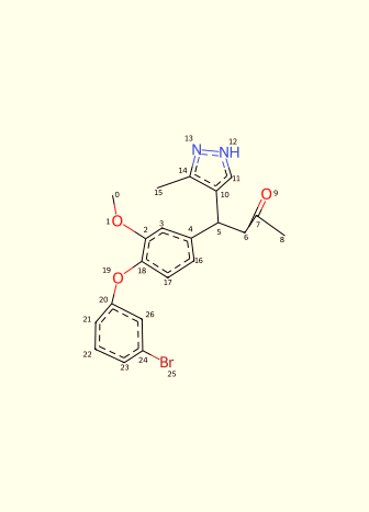 COc1cc(C(CC(C)=O)c2c[nH]nc2C)ccc1Oc1cccc(Br)c1